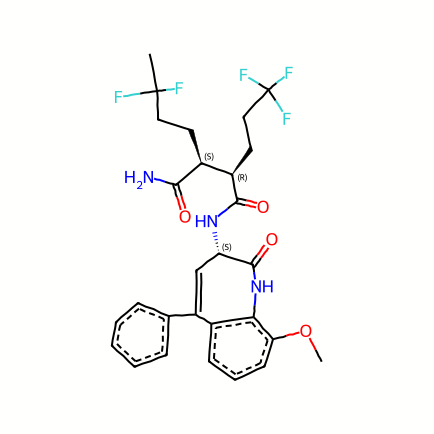 COc1cccc2c1NC(=O)[C@@H](NC(=O)[C@H](CCC(F)(F)F)[C@H](CCC(C)(F)F)C(N)=O)C=C2c1ccccc1